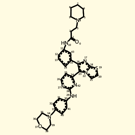 O=C(CCN1CCCCC1)Nc1cccc(-c2nc3sccn3c2-c2ccnc(Nc3ccc(N4CCOCC4)cc3)n2)c1